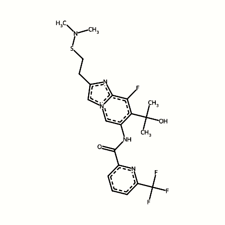 CN(C)SCCc1cn2cc(NC(=O)c3cccc(C(F)(F)F)n3)c(C(C)(C)O)c(F)c2n1